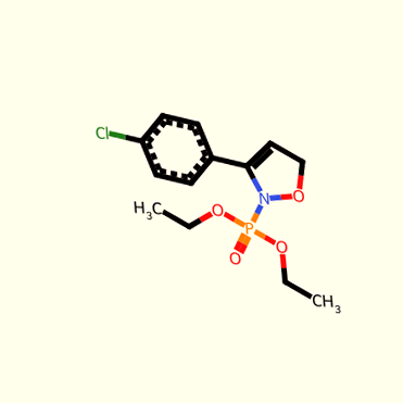 CCOP(=O)(OCC)N1OCC=C1c1ccc(Cl)cc1